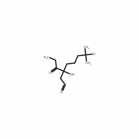 CCC(=O)C(O)(CC=O)CCCC(C)(C)Cl